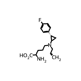 C=CCN(CCCC(N)C(=O)O)C1C[C@H]1c1ccc(F)cc1